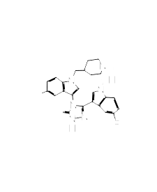 Cn1cc(-c2n[nH]c(=O)n2-c2cn(CC3CCNCC3)c3ccc(F)cc23)c2cc(F)ccc21